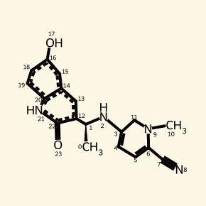 C[C@H](NC1=CC=C(C#N)N(C)C1)c1cc2cc(O)ccc2[nH]c1=O